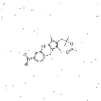 CC(=O)OC(C)(C)Cc1c(C)nn(Cc2ccc([N+](=O)[O-])cc2Cl)c1C